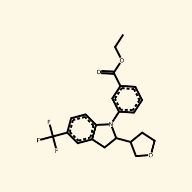 CCOC(=O)c1cccc(N2c3ccc(C(F)(F)F)cc3CC2C2CCOC2)c1